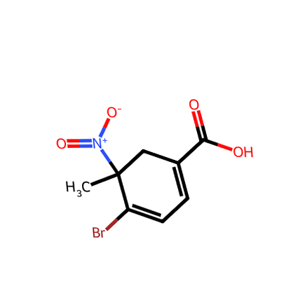 CC1([N+](=O)[O-])CC(C(=O)O)=CC=C1Br